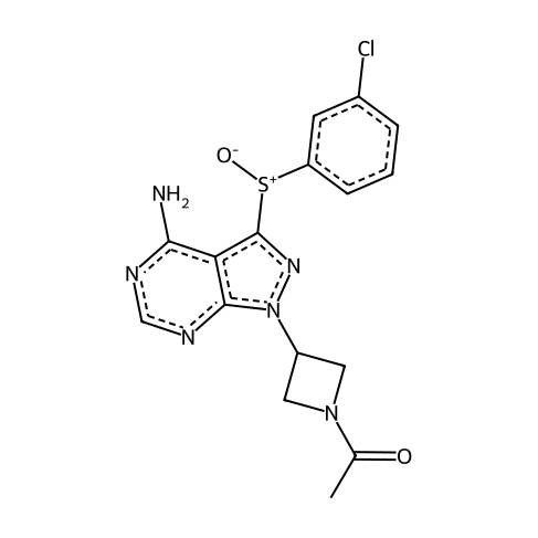 CC(=O)N1CC(n2nc([S+]([O-])c3cccc(Cl)c3)c3c(N)ncnc32)C1